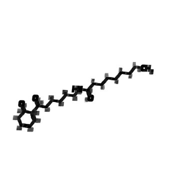 CCCCCCCCC(=O)NCCCCCC(=O)C1=CC=CCC1=O